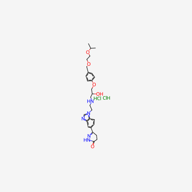 CC(C)OCCOCc1ccc(OCC(O)CNCCn2cnc3cc(C4=NNC(=O)CC4)ccc32)cc1.Cl.Cl